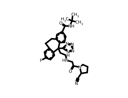 CC(C)(C)NC(=O)c1ccc2c(c1)CCc1cc(F)ccc1C2(CCNCC(=O)N1CCCC1C#N)c1nnn[nH]1